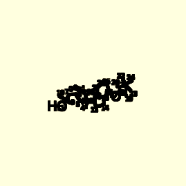 C#CC[C@@](C)(CCCC(C)(C)O)C1CCC2[C@@H](O[Si](C)(C)C(C)(C)C)CCC[C@@]21C